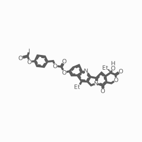 CCc1c2c(nc3ccc(OC(=O)OCc4ccc(OC(=O)I)cc4)cc13)-c1cc3c(c(=O)n1C2)COC(=O)[C@]3(O)CC